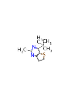 Cc1nc(C(C)(C)C)c2sccc2n1